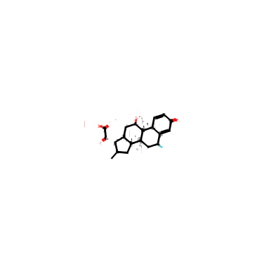 CC1C[C@H]2[C@@H]3CC(F)C4=CC(=O)C=C[C@]4(C)[C@H]3C(O)C[C@]2(C)[C@H]1C(=O)C(=O)O